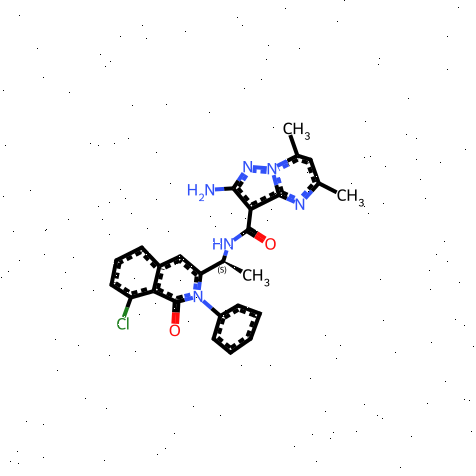 Cc1cc(C)n2nc(N)c(C(=O)N[C@@H](C)c3cc4cccc(Cl)c4c(=O)n3-c3ccccc3)c2n1